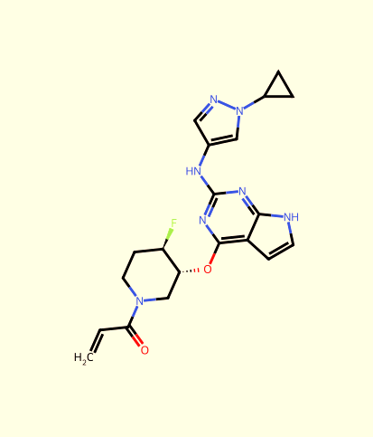 C=CC(=O)N1CC[C@@H](F)[C@H](Oc2nc(Nc3cnn(C4CC4)c3)nc3[nH]ccc23)C1